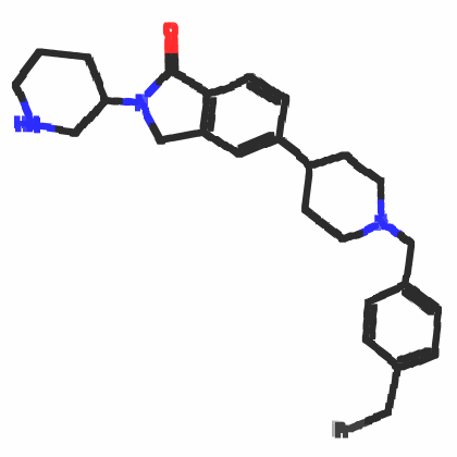 CC(C)Cc1ccc(CN2CCC(c3ccc4c(c3)CN(C3CCCNC3)C4=O)CC2)cc1